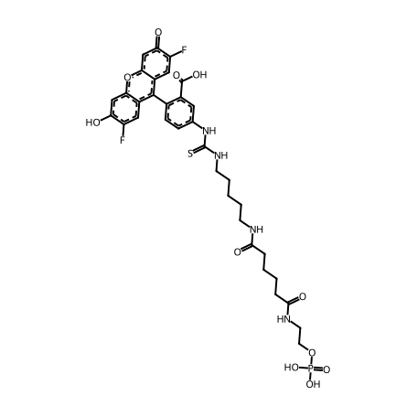 O=C(CCCCC(=O)NCCOP(=O)(O)O)NCCCCCNC(=S)Nc1ccc(-c2c3cc(F)c(=O)cc-3oc3cc(O)c(F)cc23)c(C(=O)O)c1